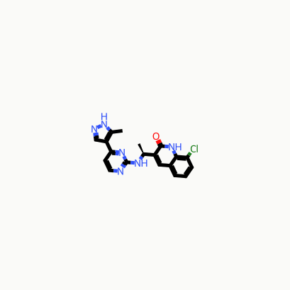 Cc1[nH]ncc1-c1ccnc(N[C@@H](C)c2cc3cccc(Cl)c3[nH]c2=O)n1